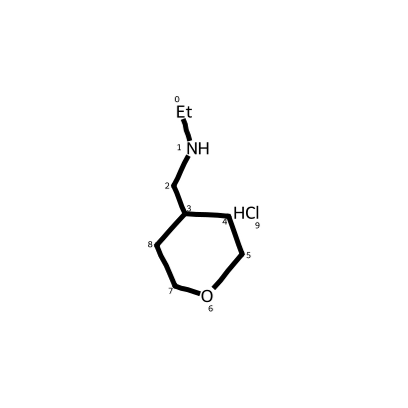 CCNCC1CCOCC1.Cl